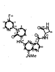 CNc1cc(Nc2cccn(-c3cc(F)ccn3)c2=O)nn2c(C(=O)NC3CNC3=O)cnc12